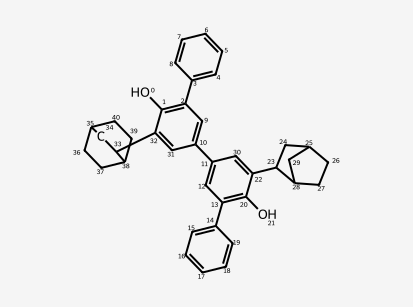 Oc1c(-c2ccccc2)cc(-c2cc(-c3ccccc3)c(O)c(C3CC4CCC3C4)c2)cc1C1CC2CCC1CC2